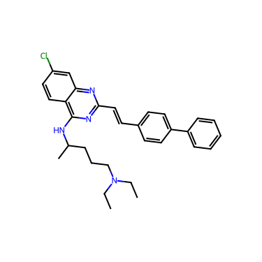 CCN(CC)CCCC(C)Nc1nc(C=Cc2ccc(-c3ccccc3)cc2)nc2cc(Cl)ccc12